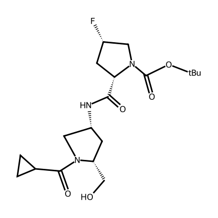 CC(C)(C)OC(=O)N1C[C@@H](F)C[C@H]1C(=O)N[C@@H]1C[C@H](CO)N(C(=O)C2CC2)C1